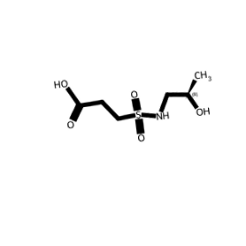 C[C@@H](O)CNS(=O)(=O)CCC(=O)O